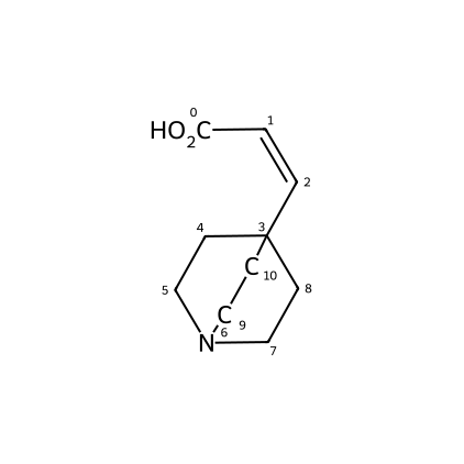 O=C(O)/C=C\C12CCN(CC1)CC2